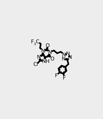 O=c1c2[nH]c(Cl)nc2n(CCC(F)(F)F)c(=O)n1CCCn1nnc(Cc2ccc(F)c(F)c2)n1